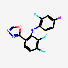 Fc1cc(I)ccc1Nc1c(-c2nnco2)ccc(F)c1F